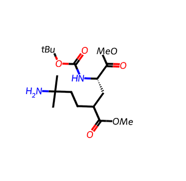 COC(=O)C(CCC(C)(C)N)C[C@H](NC(=O)OC(C)(C)C)C(=O)OC